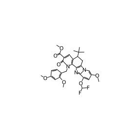 COC(=O)c1cc2c(n(Cc3ccc(OC)cc3OC)c1=O)-c1nc3c(OC(F)F)cc(OC)cn3c1CC2C(C)(C)C